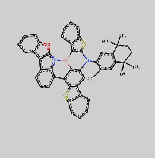 Cc1cc2c(cc1N1c3cc4c(sc5ccccc54)c4c3B(c3c1sc1ccccc31)n1c3oc5ccccc5c3c3cccc-4c31)C(C)(C)CCC2(C)C